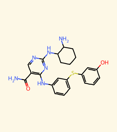 NC(=O)c1cnc(NC2CCCCC2N)nc1Nc1cccc(Sc2cccc(O)c2)c1